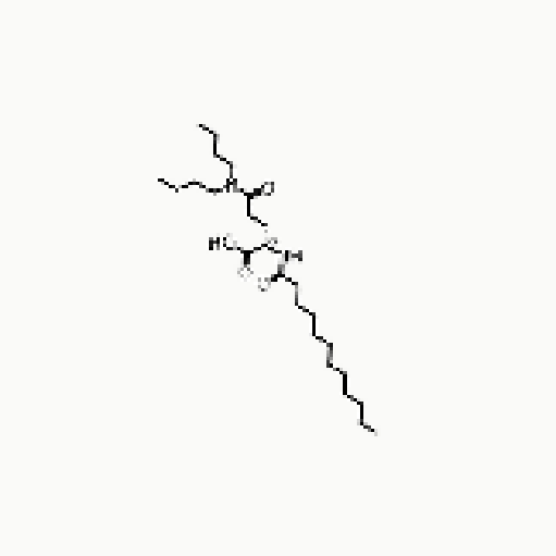 CCCCCCCCCCCC(=O)N[C@@H](CCC(=O)N(CCCC)CCCC)C(=O)O